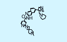 CN1CCC2(CC1)CN(c1cc(C(=O)Nc3cc4cc(-c5cnn(C)c5CN5CCCCC5)ccc4cn3)ccn1)C2